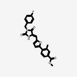 COC(=O)c1ccc(-c2ccc(/C=C3\NC(=O)N(Cc4ccc(F)cc4)C3=O)o2)c(C)c1